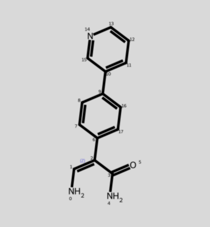 N/C=C(\C(N)=O)c1ccc(-c2cccnc2)cc1